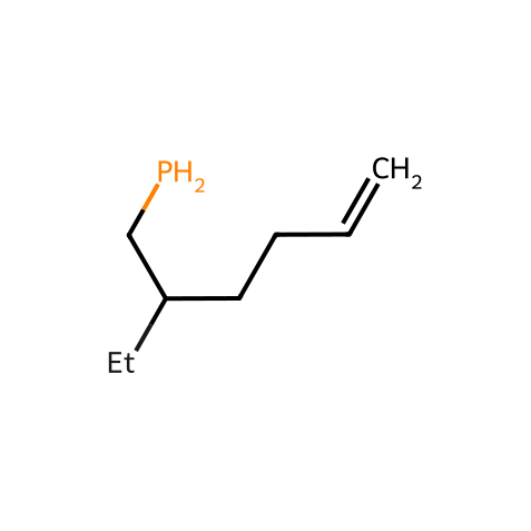 C=CCCC(CC)CP